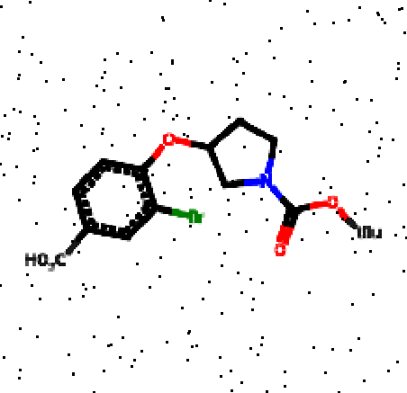 CC(C)(C)OC(=O)N1CCC(Oc2ccc(C(=O)O)cc2Br)C1